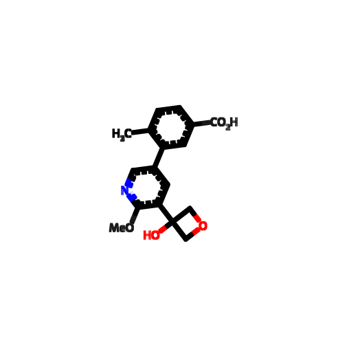 COc1ncc(-c2cc(C(=O)O)ccc2C)cc1C1(O)COC1